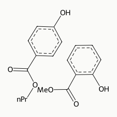 CCCOC(=O)c1ccc(O)cc1.COC(=O)c1ccccc1O